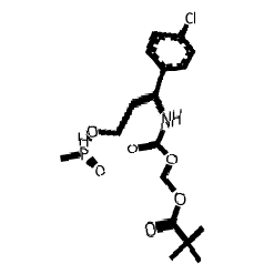 C[PH](=O)OCCC(NC(=O)OCOC(=O)C(C)(C)C)c1ccc(Cl)cc1